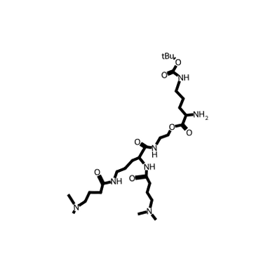 CN(C)CCCC(=O)NCCCC(NC(=O)CCCN(C)C)C(=O)NCCOC(=O)C(N)CCCNC(=O)OC(C)(C)C